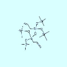 C=CC[Si](O[Si](C)(C)C)(O[Si](C)(C)C)O[Si](CC=C)(O[Si](C)(C)C)O[Si](C)(C)C